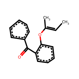 CC=C(C)Oc1ccccc1C(=O)c1ccccc1